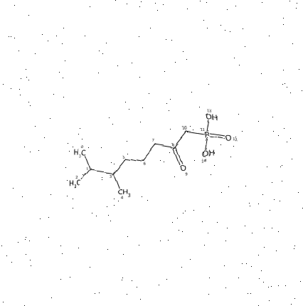 CC(C)C(C)CCCC(=O)CP(=O)(O)O